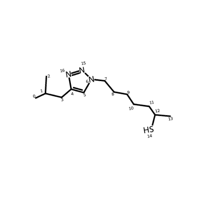 CC(C)Cc1cn(CCCCCC(C)S)nn1